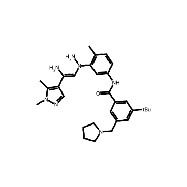 Cc1ccc(NC(=O)c2cc(CN3CCCC3)cc(C(C)(C)C)c2)cc1N(N)/C=C(\N)c1cnn(C)c1C